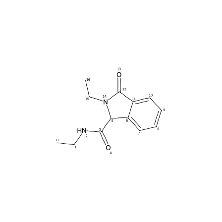 CCNC(=O)C1c2ccccc2C(=O)N1CC